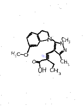 CC/C(=C\c1c(C)nn(C)c1N1CCc2ccc(OC)cc21)C(=O)O